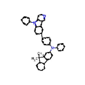 CC1(C)c2ccccc2-c2ccc(N(c3ccccc3)c3ccc(-c4ccc5c(c4)c4cnccc4n5-c4ccccc4)cc3)cc21